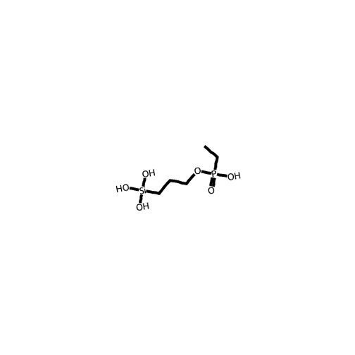 CCP(=O)(O)OCCC[Si](O)(O)O